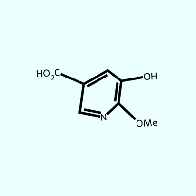 COc1ncc(C(=O)O)cc1O